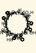 CCCC[C@H]1C(=O)N(C)CC(=O)N[C@@H](CC(=O)O)C(=O)N[C@@H](C(C)C)C(=O)N(C)[C@@H](Cc2ccccc2)C(=O)N[C@@H](Cc2ccc(O)cc2)C(=O)N(C)CC(=O)N[C@@H](Cc2c[nH]c3ccccc23)C(=O)NC(Cc2ccc(O)cc2)C(=O)N[C@@H](CC(C)C)C(=O)N[C@H](C(=O)NCC(N)=O)CSCC(=O)N[C@@H](Cc2ccccc2)C(=O)N[C@@H](Cc2ccccc2)C(=O)N1C